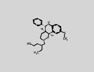 CCN(CCO)C[C@H]1CC[C@@H]2[C@H](O1)c1cc(SC)ccc1N[C@H]2c1ccccc1